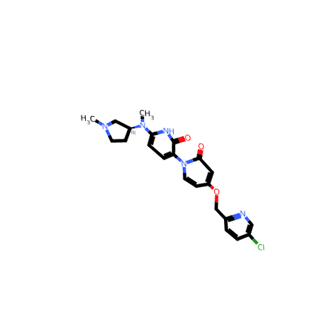 CN1CC[C@H](N(C)c2ccc(-n3ccc(OCc4ccc(Cl)cn4)cc3=O)c(=O)[nH]2)C1